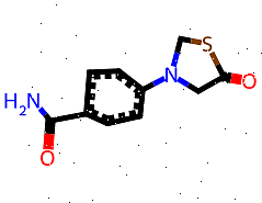 NC(=O)c1ccc(N2CSC(=O)C2)cc1